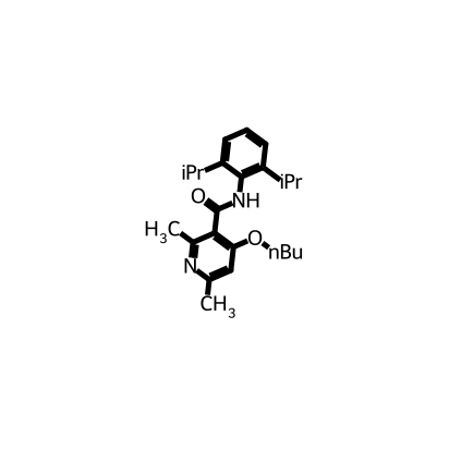 CCCCOc1cc(C)nc(C)c1C(=O)Nc1c(C(C)C)cccc1C(C)C